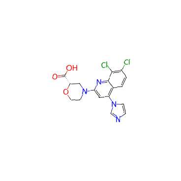 O=C(O)[C@@H]1CN(c2cc(-n3ccnc3)c3ccc(Cl)c(Cl)c3n2)CCO1